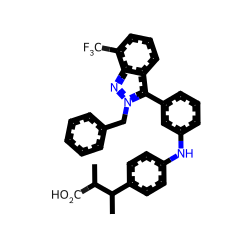 CC(C(=O)O)C(C)c1ccc(Nc2cccc(-c3c4cccc(C(F)(F)F)c4nn3Cc3ccccc3)c2)cc1